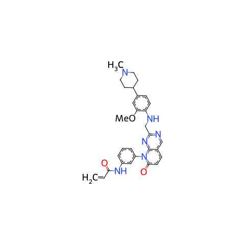 C=CC(=O)Nc1cccc(-n2c(=O)ccc3cnc(CNc4ccc(C5CCN(C)CC5)cc4OC)nc32)c1